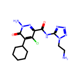 NCCn1nnnc1NC(=O)c1nn(N)c(=O)c(C2CCCCC2)c1Cl